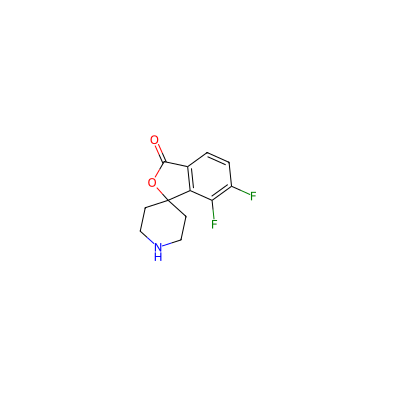 O=C1OC2(CCNCC2)c2c1ccc(F)c2F